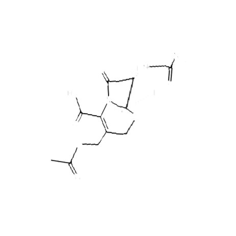 CC(=O)OCC1=C(C(=O)O)N2C(=O)[C@H](NC(N)=S)[C@H]2SC1